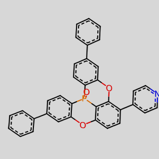 O=P12c3ccc(-c4ccccc4)cc3Oc3ccc(-c4ccncc4)c(c31)Oc1cc(-c3ccccc3)ccc12